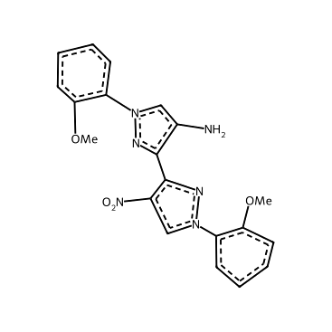 COc1ccccc1-n1cc(N)c(-c2nn(-c3ccccc3OC)cc2[N+](=O)[O-])n1